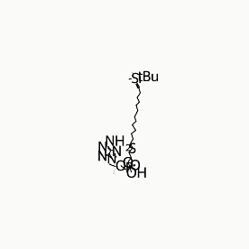 C[C@H](Cn1cnc2c(N)ncnc21)OCP(=O)(O)OCCSCCCCCCCCCCCCC#C[Si](C)(C)C(C)(C)C